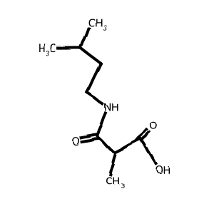 CC(C)CCNC(=O)C(C)C(=O)O